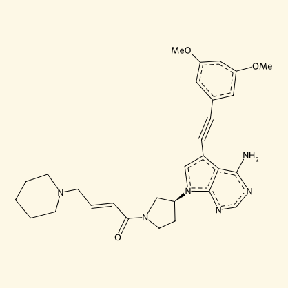 COc1cc(C#Cc2cn([C@H]3CCN(C(=O)C=CCN4CCCCC4)C3)c3ncnc(N)c23)cc(OC)c1